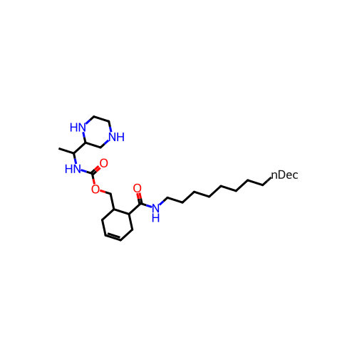 CCCCCCCCCCCCCCCCCCNC(=O)C1CC=CCC1COC(=O)NC(C)C1CNCCN1